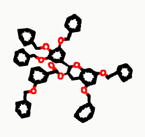 O=C(O[C@H]1Cc2c(OCc3ccccc3)cc(OCc3ccccc3)cc2O[C@@H]1c1cc(OCc2ccccc2)c(OCc2ccccc2)c(OCc2ccccc2)c1)c1cccc(OCc2ccccc2)c1